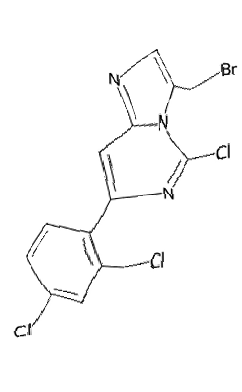 Clc1ccc(-c2cc3ncc(Br)n3c(Cl)n2)c(Cl)c1